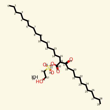 CCCCCCCCCCCCCCCCC(C(=O)CCCCCCCCCCC)C(=O)OS(=O)(=O)CCO.[KH]